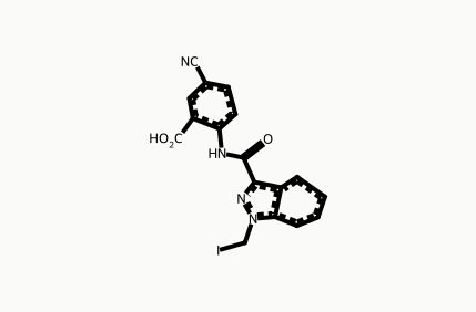 N#Cc1ccc(NC(=O)c2nn(CI)c3ccccc23)c(C(=O)O)c1